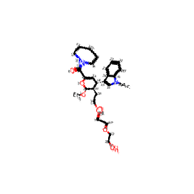 CCO[C@@H]1OC(C(=O)N2CCCCC2)=C[C@H](c2cn(C(C)=O)c3ccccc23)[C@H]1CCOCCOCCO